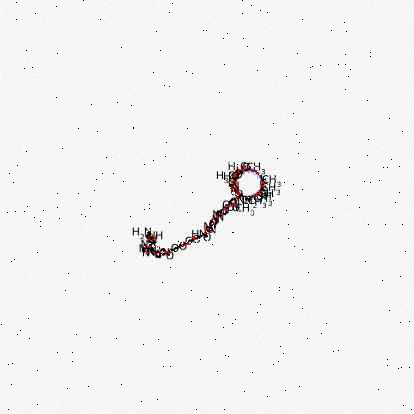 CO[C@H]1C[C@@H]2CC[C@@H](C)[C@@](O)(O2)C(=O)C(=O)N2CCCC[C@H]2C(=O)O[C@H]([C@H](N)C[C@@H]2CC[C@@H](OC(=O)N3CCc4nc(N5CCN(c6ncc(C(=O)NCCOCCOCCOCCOCCC(=O)N7CCc8cc(Cn9nc(-c%10cnc%11[nH]c(N)cc%11c%10)c%10c(N)ncnc%109)ccc8C7)cn6)CC5)ncc4C3)[C@H](OC)C2)CC(=O)[C@H](C)/C=C(\C)[C@@H](O)[C@@H](O)C(=O)[C@H](C)C[C@H](C)/C=C/C=C/C=C/1C